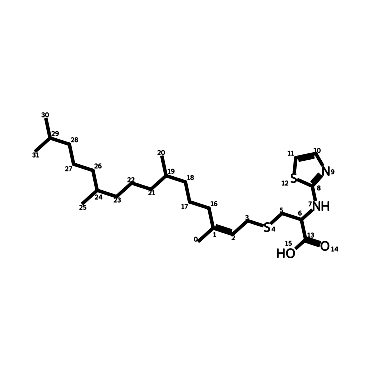 CC(=CCSCC(Nc1nccs1)C(=O)O)CCCC(C)CCCC(C)CCCC(C)C